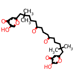 CC(C)(CCCC(=O)CCCC(=O)CCCC(C)(C)Cc1cc(=O)c(O)co1)Cc1cc(=O)c(O)co1